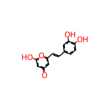 O=c1cc(O)oc(C=Cc2ccc(O)c(O)c2)c1